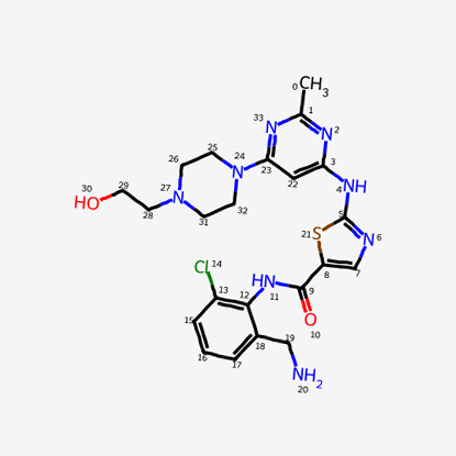 Cc1nc(Nc2ncc(C(=O)Nc3c(Cl)cccc3CN)s2)cc(N2CCN(CCO)CC2)n1